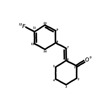 O=C1CCCC/C1=C\C1C=CC(F)=CC1